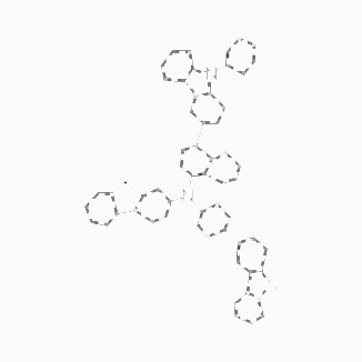 CC1(C)c2ccccc2-c2ccc(N(c3ccc(-c4ccc5sc6ccccc6c5c4)cc3)c3ccc(-c4ccc5c(c4)c4ccccc4n5-c4ccccc4)c4ccccc34)cc21